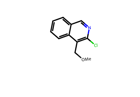 COCc1c(Cl)ncc2ccccc12